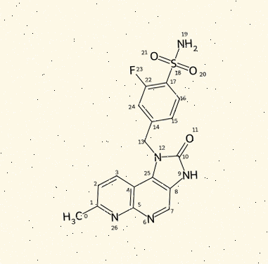 Cc1ccc2c(ncc3[nH]c(=O)n(Cc4ccc(S(N)(=O)=O)c(F)c4)c32)n1